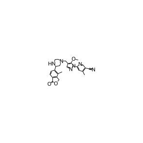 COc1c(CN2CCNC(c3ccc4c(c3C)COC4=O)C2)cnn1-c1cc(C)c(C#N)cn1